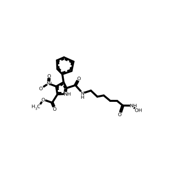 COC(=O)c1[nH]c(C(=O)NCCCCCC(=O)NO)c(-c2ccccc2)c1[N+](=O)[O-]